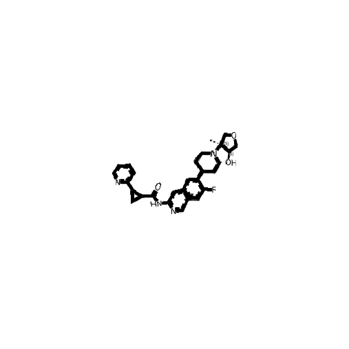 C[C@]1(N2CCC(c3cc4cc(NC(=O)C5CC5c5ccccn5)ncc4cc3F)CC2)COC[C@H]1O